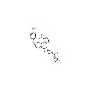 COc1ccc(CN2CCN(C3CC4(C3)CN(C(=O)OC(C)(C)C)C4)C(c3ccccc3C(C)C)C2)cc1